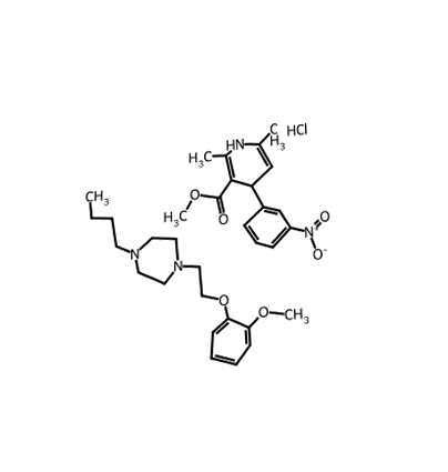 CCCCN1CCN(CCOc2ccccc2OC)CC1.COC(=O)C1=C(C)NC(C)=CC1c1cccc([N+](=O)[O-])c1.Cl